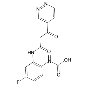 O=C(O)Nc1ccc(F)cc1NC(=O)CC(=O)c1ccnnc1